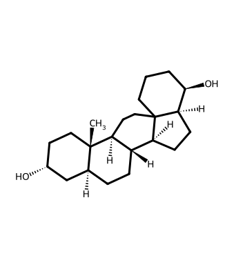 C[C@]12CC[C@@H](O)C[C@@H]1CC[C@H]1[C@@H]3CC[C@@H]4[C@H](O)CCCC43CC[C@@H]12